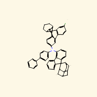 CCC1CCC2CCCC(C1)C21c2ccc(N(c3ccc(-c4ccccc4)cc3)c3cccc4c3-c3ccccc3C43C4CC5CC(C4)CC3C5)cc2-c2ccc(F)cc21